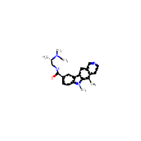 Cc1c2ccncc2cc2c3cc(C(=O)NC[C@H](C)N(C)C)ccc3n(C)c12